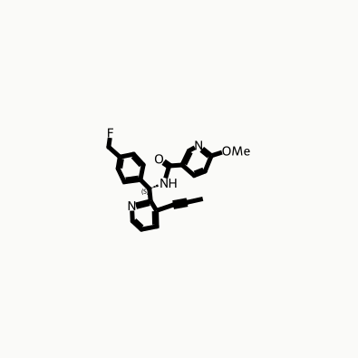 CC#Cc1cccnc1[C@@H](NC(=O)c1ccc(OC)nc1)c1ccc(CF)cc1